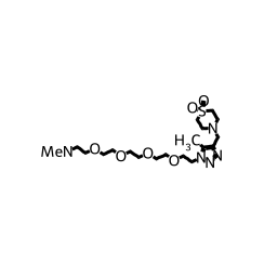 CNCCOCCOCCOCCOCCn1nnc(CN2CCS(=O)(=O)CC2)c1C